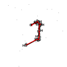 CC(=O)[C@@H](C)CCCCNC(=O)CC[C@H](NC(=O)CC[C@H](NC(=O)COCCOCCNC(=O)COCCOCCNC(=O)CC[C@H](NC(=O)CCCCCCCCCCCCCCCCCCC(=O)O)C(=O)O)C(=O)O)C(=O)O